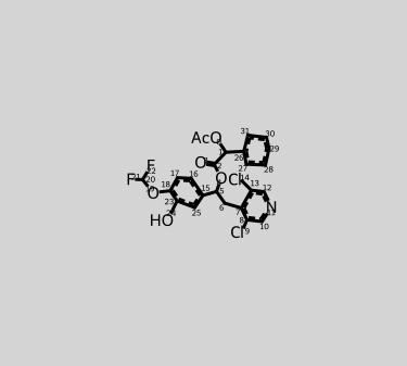 CC(=O)OC(C(=O)OC(Cc1c(Cl)cncc1Cl)c1ccc(OC(F)F)c(O)c1)c1ccccc1